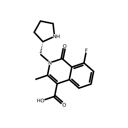 Cc1c(C(=O)O)c2cccc(F)c2c(=O)n1C[C@@H]1CCCN1